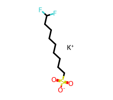 O=S(=O)([O-])CCCCCCCCC(F)F.[K+]